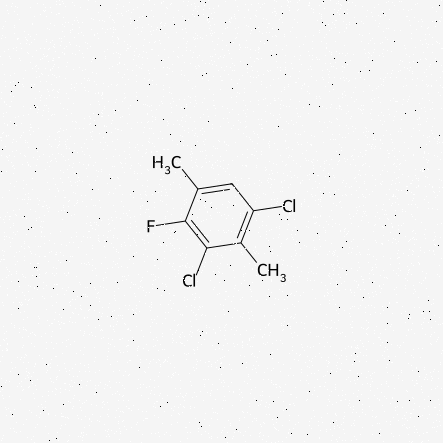 Cc1cc(Cl)c(C)c(Cl)c1F